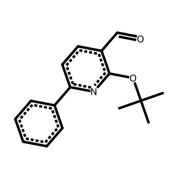 CC(C)(C)Oc1nc(-c2ccccc2)ccc1C=O